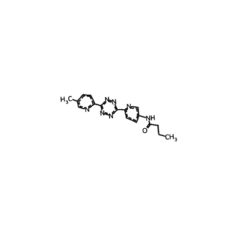 CCCC(=O)Nc1ccc(-c2nnc(-c3ccc(C)cn3)nn2)nc1